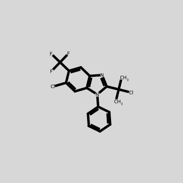 CC(C)(Cl)c1nc2cc(C(F)(F)F)c(Cl)cc2n1-c1c[c]ccc1